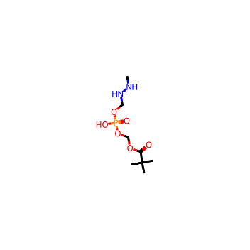 CNNCOP(=O)(O)OCOC(=O)C(C)(C)C